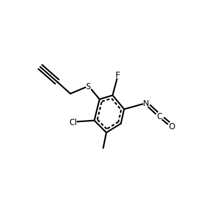 C#CCSc1c(F)c(N=C=O)cc(C)c1Cl